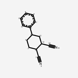 N#CC1CCC(c2ccccc2)CC1C#N